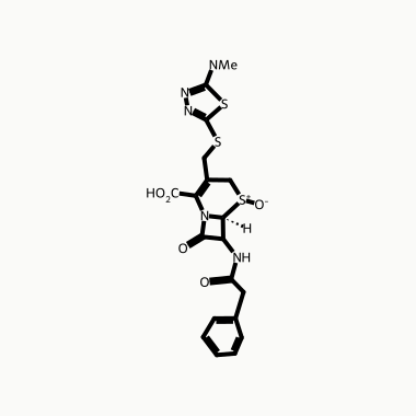 CNc1nnc(SCC2=C(C(=O)O)N3C(=O)C(NC(=O)Cc4ccccc4)[C@@H]3[S+]([O-])C2)s1